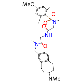 CNC1CCc2ccc(CN(C)C(=O)CNC(=O)CN(C)S(=O)(=O)c3c(C)cc(OC)cc3C)cc2CC1